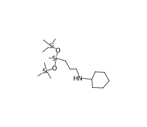 C[Si](C)(C)O[Si](C)(CCCNC1CCCCC1)O[Si](C)(C)C